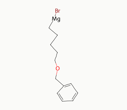 [Br][Mg][CH2]CCCCOCc1ccccc1